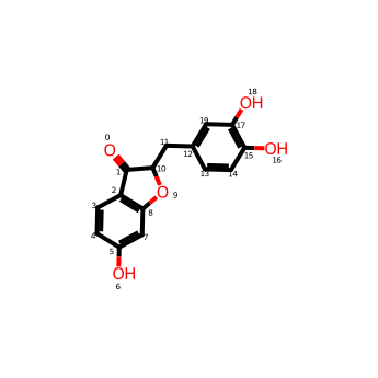 O=C1c2ccc(O)cc2OC1Cc1ccc(O)c(O)c1